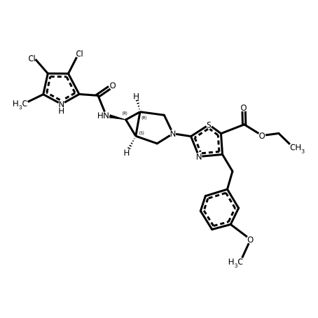 CCOC(=O)c1sc(N2C[C@@H]3[C@H](C2)[C@@H]3NC(=O)c2[nH]c(C)c(Cl)c2Cl)nc1Cc1cccc(OC)c1